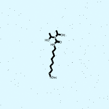 CCCCCCCCCCCCCCCCCCNC(=O)N(C(C)O)C(C)O